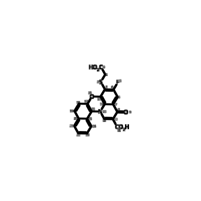 O=C(O)CSc1c(F)cc2c(=O)c(C(=O)O)cn3c2c1Oc1ccc2ccccc2c1-3